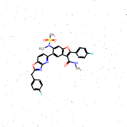 CNC(=O)c1c(-c2ccc(F)cc2)oc2cc(N(C)S(C)(=O)=O)c(-c3ccc4oc(Cc5ccc(F)cc5)nc4n3)cc12